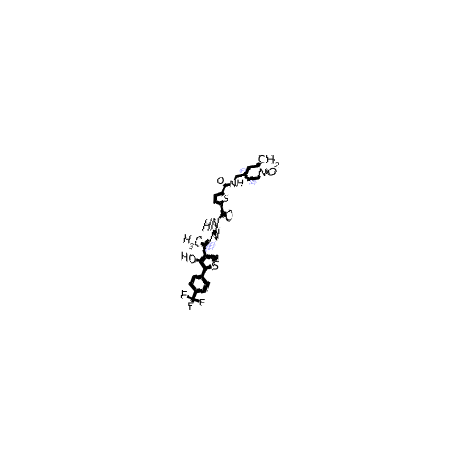 C=C/C=C(\C=C/N=O)CNC(=O)c1ccc(C(=O)N/N=C(\C)c2csc(-c3ccc(C(F)(F)F)cc3)c2O)s1